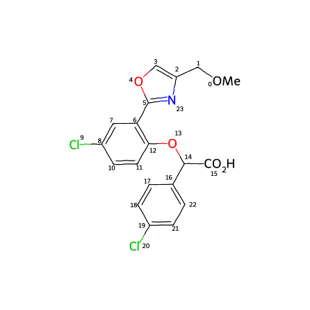 COCc1coc(-c2cc(Cl)ccc2OC(C(=O)O)c2ccc(Cl)cc2)n1